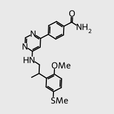 COc1ccc(SC)cc1C(C)CNc1cc(-c2ccc(C(N)=O)cc2)ncn1